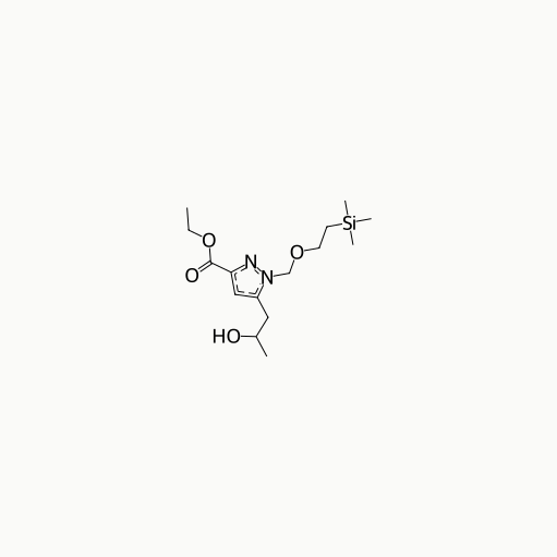 CCOC(=O)c1cc(CC(C)O)n(COCC[Si](C)(C)C)n1